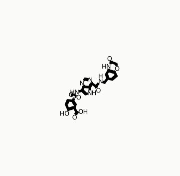 O=C1COc2ccc(CNC(=O)c3ncnc4c(NS(=O)(=O)c5ccc(O)c(C(=O)O)c5)c[nH]c34)cc2N1